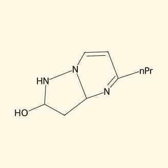 CCCC1=NC2CC(O)NN2C=C1